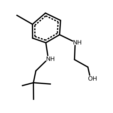 Cc1ccc(NCCO)c(NCC(C)(C)C)c1